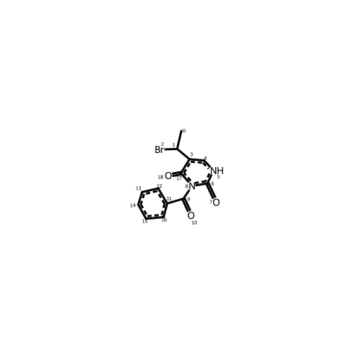 CC(Br)c1c[nH]c(=O)n(C(=O)c2ccccc2)c1=O